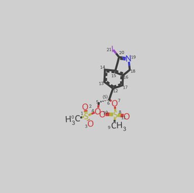 CS(=O)(=O)OC[C@@H](OS(C)(=O)=O)c1ccc2c(c1)CN=C2I